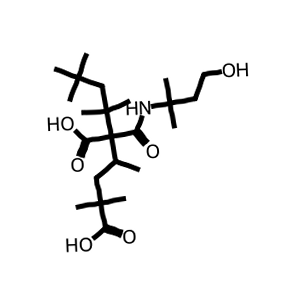 CC(CC(C)(C)C(=O)O)C(C(=O)O)(C(=O)NC(C)(C)CCO)C(C)(C)CC(C)(C)C